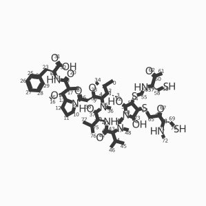 CC[C@H](C)C([C@@H](CC(=O)N1CCCC1[C@H](OC)C(C)C(=O)N[C@@H](Cc1ccccc1)C(=O)O)OC)N(C)C(O)[C@@H](NC(=O)C(C(C)C)N(C)CN1C(O)C(SCN[C@@H](CS)C(C)=O)C(SCC(=O)[C@H](CS)NC)C1O)C(C)C